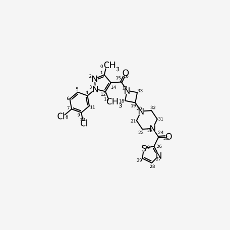 Cc1nn(-c2ccc(Cl)c(Cl)c2)c(C)c1C(=O)N1CC(N2CCN(C(=O)c3nccs3)CC2)C1